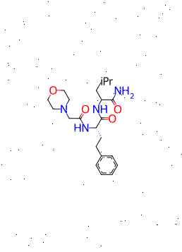 CC(C)CC(NC(=O)[C@H](CCc1ccccc1)NC(=O)CN1CCOCC1)C(N)=O